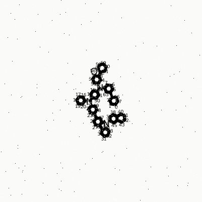 c1ccc(-c2cccc(N(c3ccc(N(c4ccccc4)c4ccc(-c5ccc6c7ccccc7n(-c7ccc8ccccc8c7)c6c5)cc4)cc3)c3ccc4oc5ccccc5c4c3)c2)cc1